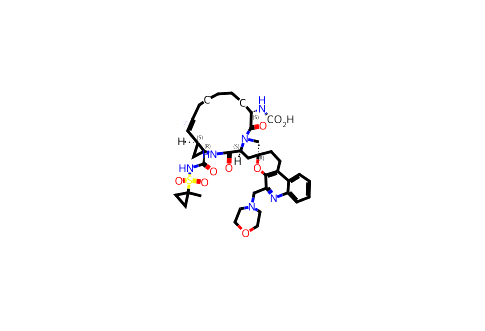 CC1(S(=O)(=O)NC(=O)[C@@]23C[C@H]2/C=C\CCCCC[C@H](NC(=O)O)C(=O)N2C[C@@]4(CCc5c(c(CN6CCOCC6)nc6ccccc56)O4)C[C@H]2C(=O)N3)CC1